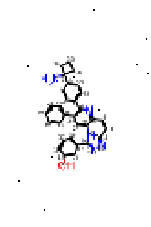 NC1(c2ccc(-c3nc4ccc5nnc(-c6cccc(O)c6)n5c4cc3-c3ccccc3)cc2)CCC1